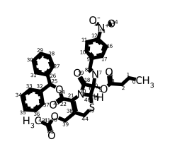 CCCC(=O)O[C@]1(N=Cc2ccc([N+](=O)[O-])cc2)C(=O)N2C(C(=O)OC(c3ccccc3)c3ccccc3)=C(COC(C)=O)CS[C@@H]21